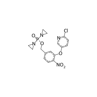 O=[N+]([O-])c1ccc(COP(=O)(N2CC2)N2CC2)cc1Oc1ccc(Cl)nc1